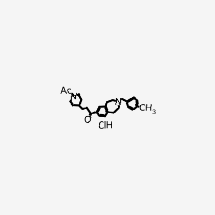 CC(=O)N1CCC(CCC(=O)c2ccc3c(c2)CCN(Cc2ccc(C)cc2)CC3)CC1.Cl